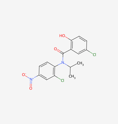 CC(C)N(C(=O)c1cc(Cl)ccc1O)c1ccc([N+](=O)[O-])cc1Cl